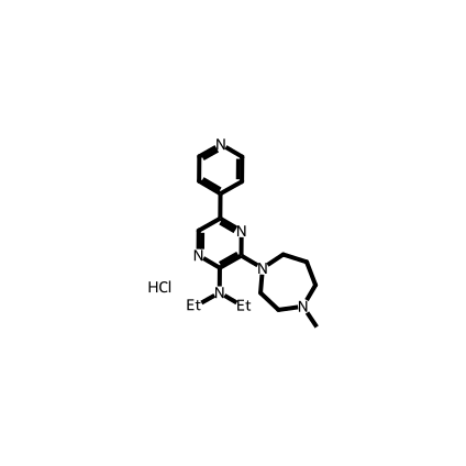 CCN(CC)c1ncc(-c2ccncc2)nc1N1CCCN(C)CC1.Cl